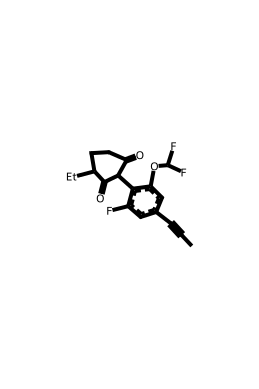 CC#Cc1cc(F)c(C2C(=O)CCC(CC)C2=O)c(OC(F)F)c1